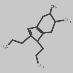 CCCC1=[C]C2=C(CC(C)C(C)C2)C1CCC